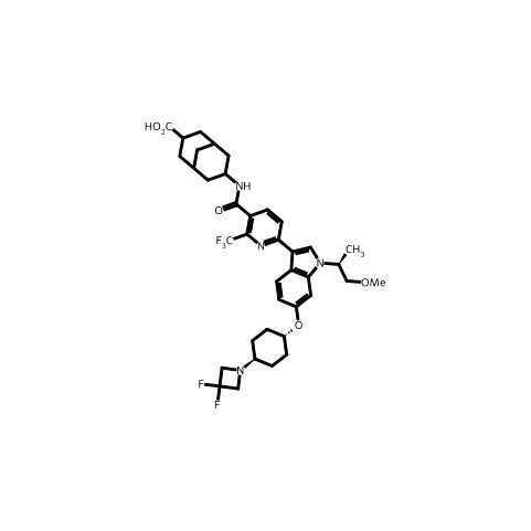 COC[C@H](C)n1cc(-c2ccc(C(=O)NC3CC4CC(C3)CC(C(=O)O)C4)c(C(F)(F)F)n2)c2ccc(O[C@H]3CC[C@H](N4CC(F)(F)C4)CC3)cc21